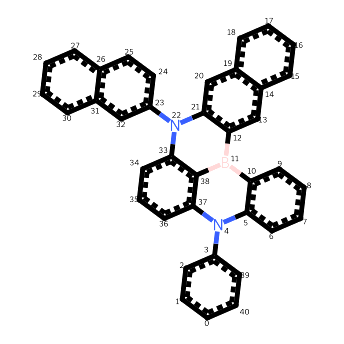 c1ccc(N2c3ccccc3B3c4cc5ccccc5cc4N(c4ccc5ccccc5c4)c4cccc2c43)cc1